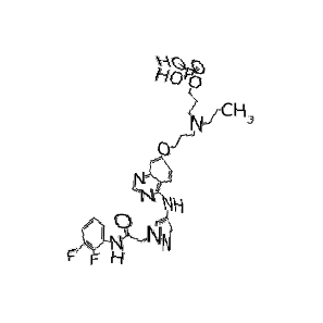 CCCN(CCCOc1ccc2c(Nc3cnn(CC(=O)Nc4cccc(F)c4F)c3)ncnc2c1)CCCOP(=O)(O)O